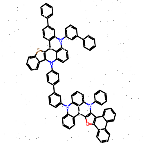 c1ccc(-c2cccc(N3c4cc(-c5ccccc5)ccc4B4c5sc6ccccc6c5N(c5ccc(-c6cccc(N7c8ccccc8B8c9oc%10c%11ccccc%11c%11ccccc%11c%10c9N(c9ccccc9)c9cccc7c98)c6)cc5)c5cccc3c54)c2)cc1